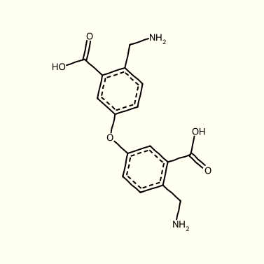 NCc1ccc(Oc2ccc(CN)c(C(=O)O)c2)cc1C(=O)O